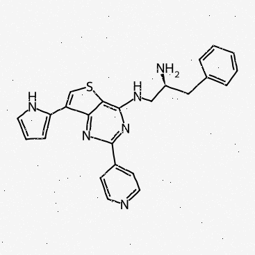 N[C@H](CNc1nc(-c2ccncc2)nc2c(-c3ccc[nH]3)csc12)Cc1ccccc1